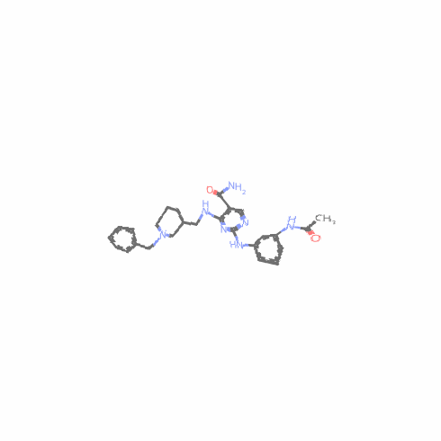 CC(=O)Nc1cccc(Nc2ncc(C(N)=O)c(NCC3CCCN(Cc4ccccc4)C3)n2)c1